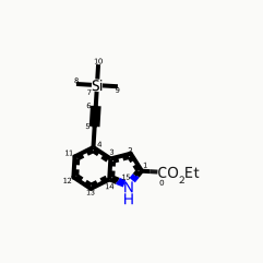 CCOC(=O)c1cc2c(C#C[Si](C)(C)C)cccc2[nH]1